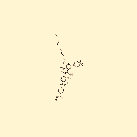 CCCCOCCCCCCCOc1nc(N2CCS(=O)(=O)CC2)cc2c(N[C@H](C)c3cccc(C(F)(F)C4CCN(C(=O)OC(C)(C)C)CC4)c3F)nn(C)c(=O)c12